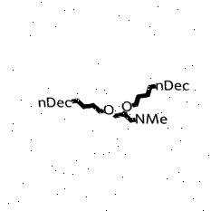 CCCCCCCCCCCCCCOCC(CNC)OCCCCCCCCCCCCCC